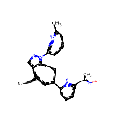 C/C(=N\O)c1cccc(-c2cc(C#N)c3cnn(-c4cccc(C)n4)c3c2)n1